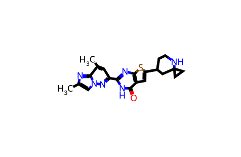 Cc1cn2nc(-c3nc4sc(C5CCNC6(CC6)C5)cc4c(=O)[nH]3)cc(C)c2n1